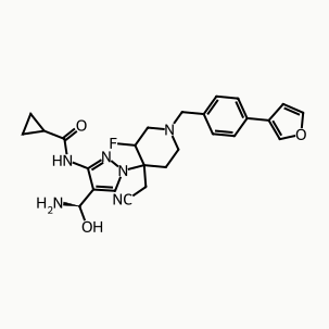 N#CCC1(n2cc([C@H](N)O)c(NC(=O)C3CC3)n2)CCN(Cc2ccc(-c3ccoc3)cc2)CC1F